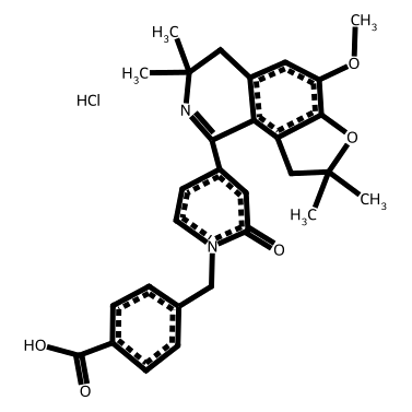 COc1cc2c(c3c1OC(C)(C)C3)C(c1ccn(Cc3ccc(C(=O)O)cc3)c(=O)c1)=NC(C)(C)C2.Cl